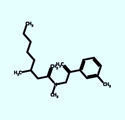 C=C(CN(C)C(=C)CC(C)CCCCC)c1cccc(C)c1